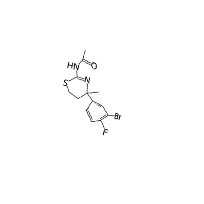 CC(=O)NC1=NC(C)(c2ccc(F)c(Br)c2)CCS1